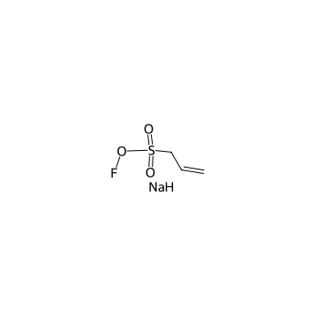 C=CCS(=O)(=O)OF.[NaH]